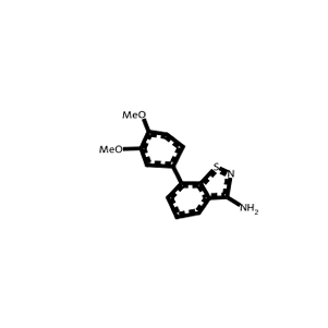 COc1ccc(-c2cccc3c(N)nsc23)cc1OC